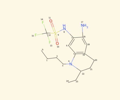 CCCCN1c2cc(NS(=O)(=O)C(F)(F)F)c(N)cc2CCC1CC